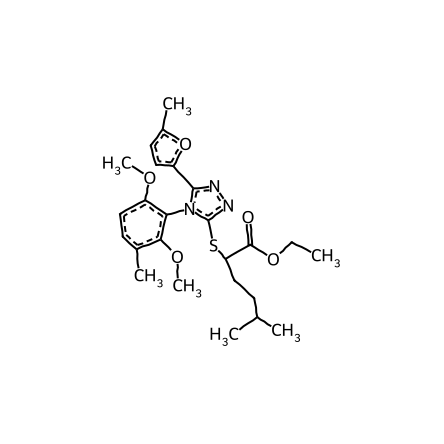 CCOC(=O)C(CCC(C)C)Sc1nnc(-c2ccc(C)o2)n1-c1c(OC)ccc(C)c1OC